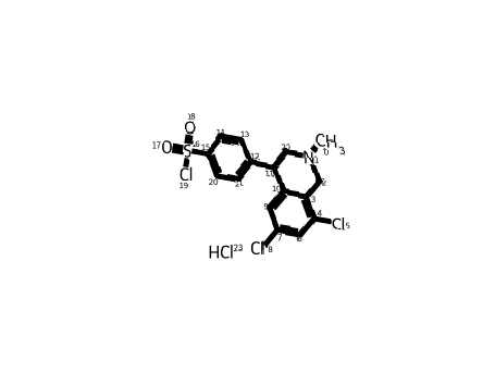 CN1Cc2c(Cl)cc(Cl)cc2C(c2ccc(S(=O)(=O)Cl)cc2)C1.Cl